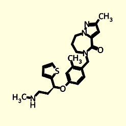 CNCC[C@H](Oc1ccc(CN2CCCn3nc(C)cc3C2=O)c(C)c1)c1cccs1